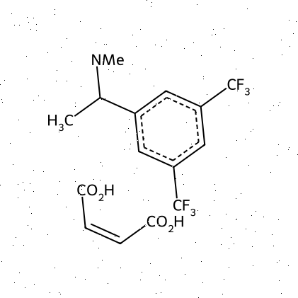 CNC(C)c1cc(C(F)(F)F)cc(C(F)(F)F)c1.O=C(O)/C=C\C(=O)O